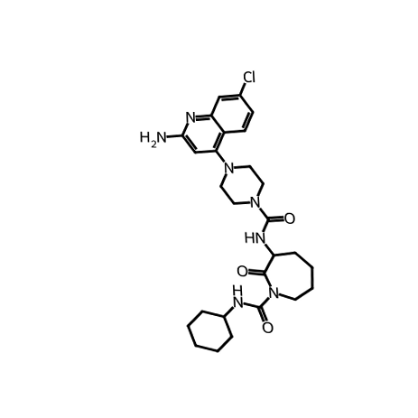 Nc1cc(N2CCN(C(=O)NC3CCCCN(C(=O)NC4CCCCC4)C3=O)CC2)c2ccc(Cl)cc2n1